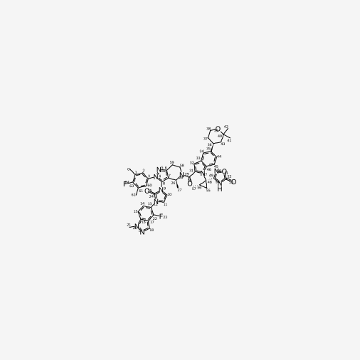 Cc1cc(-n2nc3c(c2-n2ccn(-c4ccc5c(cnn5C)c4F)c2=O)[C@H](C)N(C(=O)c2cc4cc([C@H]5CCOC(C)(C)C5)ccc4n2[C@@]2(c4noc(=O)[nH]4)C[C@@H]2C)CC3)cc(C)c1F